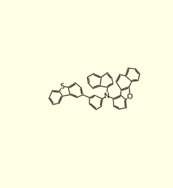 c1cc(-c2ccc3sc4ccccc4c3c2)cc(N(c2cccc3ccccc23)c2cccc3oc4c5ccccc5ccc4c23)c1